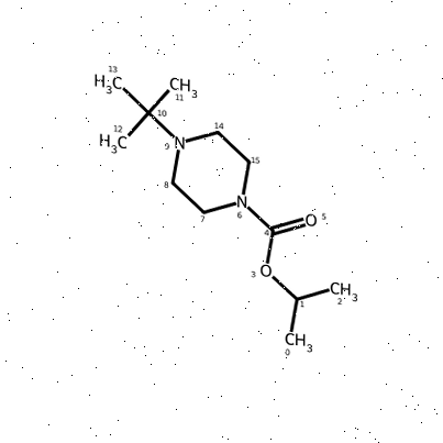 CC(C)OC(=O)N1CCN(C(C)(C)C)CC1